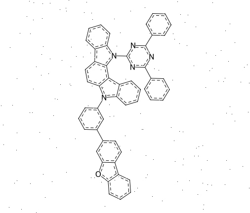 c1ccc(-c2nc(-c3ccccc3)nc(-n3c4ccccc4c4ccc5c(c6ccccc6n5-c5cccc(-c6ccc7c(c6)oc6ccccc67)c5)c43)n2)cc1